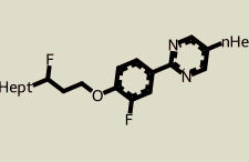 CCCCCCCC(F)CCOc1ccc(-c2ncc(CCCCCC)cn2)cc1F